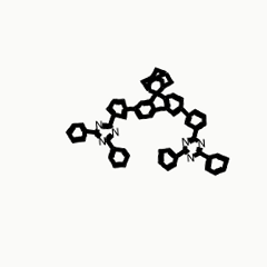 c1ccc(-c2nc(-c3ccccc3)nc(-c3cccc(-c4ccc5c(c4)-c4ccc(-c6cccc(-c7nc(-c8ccccc8)nc(-c8ccccc8)n7)c6)cc4C54C5CC6CC(C5)CC4C6)c3)n2)cc1